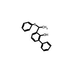 CC(Sc1ccccc1)c1cccc(-c2ccccc2)c1O